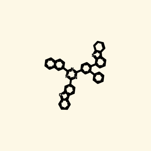 C1=Cc2c(sc3c(-c4ccc(-c5nc(-c6ccc7ccccc7c6)nc(-c6ccc7c(c6)oc6ccccc67)n5)cc4-c4ccccc4)cccc23)CC1